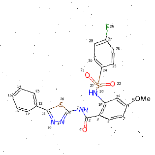 COc1ccc(C(=O)Nc2nnc(-c3ccccc3)s2)c(NS(=O)(=O)c2ccc(F)cc2)c1